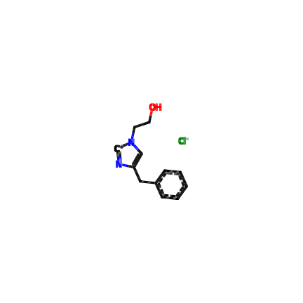 OCCN1[C+]=NC(Cc2ccccc2)=C1.[Cl-]